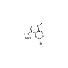 COc1ccc(Br)cc1S(=O)O.[NaH]